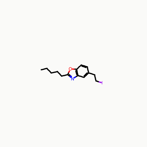 CCCCCc1nc2cc(CCI)ccc2o1